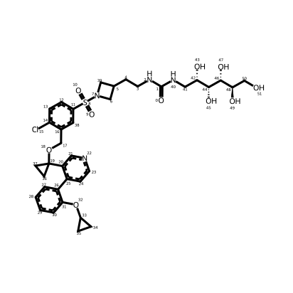 O=C(NCCC1CN(S(=O)(=O)c2ccc(Cl)c(COC3(c4cnccc4-c4ccccc4OC4CC4)CC3)c2)C1)NC[C@H](O)[C@@H](O)[C@H](O)[C@H](O)CO